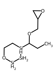 CCC(OCC1CO1)[SiH]1CCO[SiH2][SiH2]1